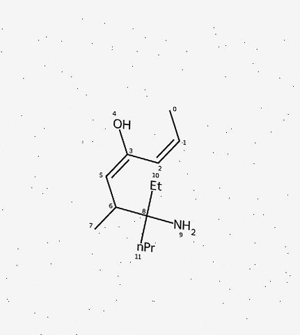 C/C=C\C(O)=C/C(C)C(N)(CC)CCC